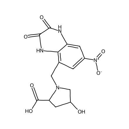 O=C(O)C1CC(O)CN1Cc1cc([N+](=O)[O-])cc2[nH]c(=O)c(=O)[nH]c12